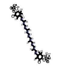 COP(=O)(OC)OC1CC(C)(C)C(/C=C/C(C)=C/C=C/C(C)=C/C=C/C=C(C)/C=C/C=C(C)/C=C/C2=C(C)C(=O)C(OP(=O)(OC)OC)CC2(C)C)=C(C)C1=O